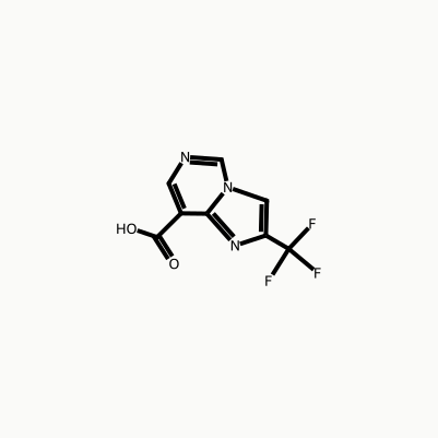 O=C(O)c1cncn2cc(C(F)(F)F)nc12